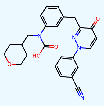 N#Cc1cccc(-n2ccc(=O)c(Cc3cccc(N(CC4CCOCC4)C(=O)O)c3)n2)c1